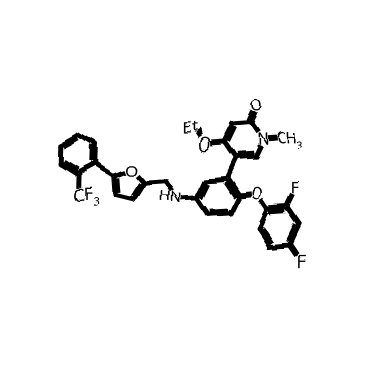 CCOc1cc(=O)n(C)cc1-c1cc(NCc2ccc(-c3ccccc3C(F)(F)F)o2)ccc1Oc1ccc(F)cc1F